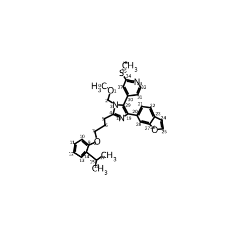 COCn1c(CCCOc2ccccc2C(C)C)nc(-c2ccc3ccoc3c2)c1-c1ccnc(SC)c1